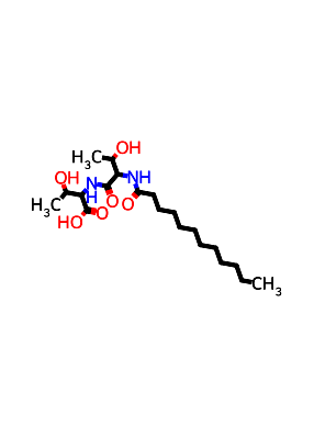 CCCCCCCCCCCC(=O)NC(C(=O)NC(C(=O)O)C(C)O)C(C)O